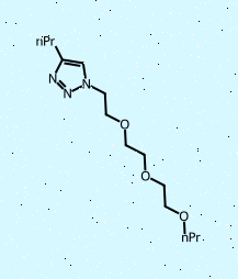 CCCOCCOCCOCCn1cc(CCC)nn1